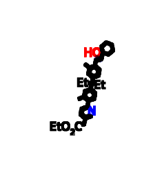 CCOC(=O)Cc1ccc(-c2ccc(C(CC)(CC)c3ccc(/C=C/C4(O)CCCCC4)c(C)c3)cc2C)nc1